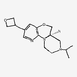 CC(C)N1CCN2c3ncc(C4COC4)cc3OC[C@H]2C1